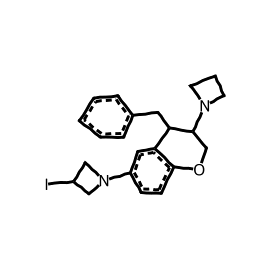 IC1CN(c2ccc3c(c2)C(Cc2ccccc2)C(N2CCC2)CO3)C1